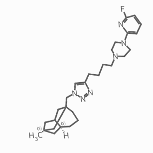 C[C@@]12CC3CC(Cn4cc(CCCCN5CCN(c6cccc(F)n6)CC5)nn4)(CCC[C@H]3C1)C2